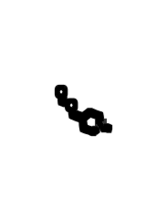 CN1CCC(=COC=O)CC1